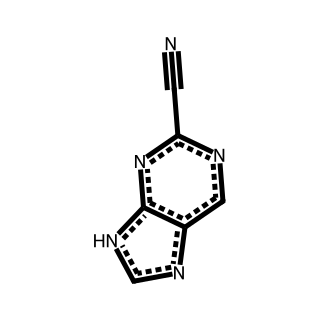 N#Cc1ncc2nc[nH]c2n1